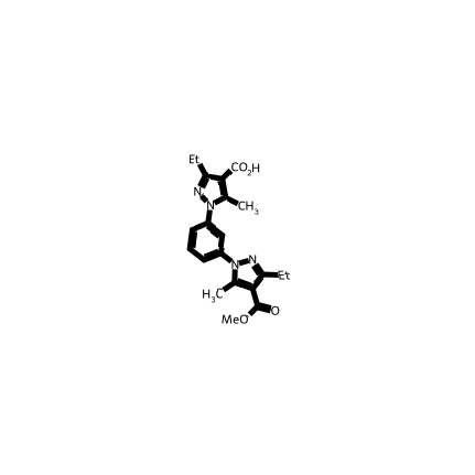 CCc1nn(-c2cccc(-n3nc(CC)c(C(=O)OC)c3C)c2)c(C)c1C(=O)O